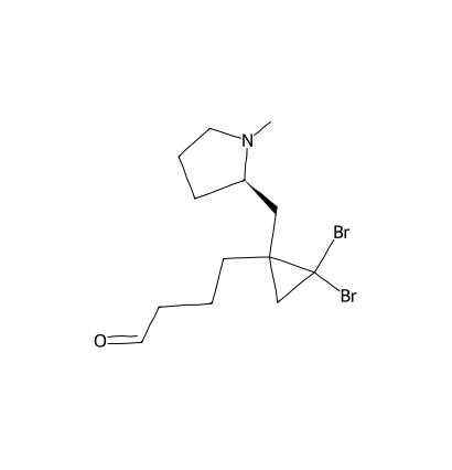 CN1CCC[C@@H]1CC1(CCCC=O)CC1(Br)Br